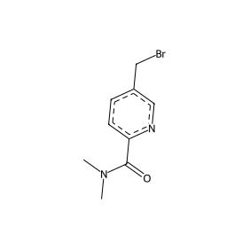 CN(C)C(=O)c1ccc(CBr)cn1